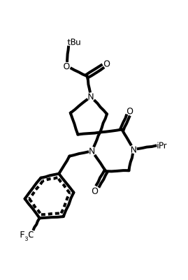 CC(C)N1CC(=O)N(Cc2ccc(C(F)(F)F)cc2)C2(CCN(C(=O)OC(C)(C)C)C2)C1=O